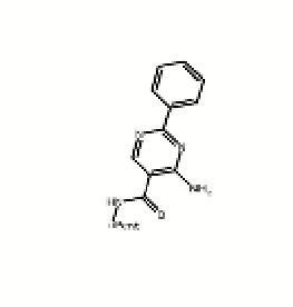 CCCCCNC(=O)c1cnc(-c2ccccc2)nc1N